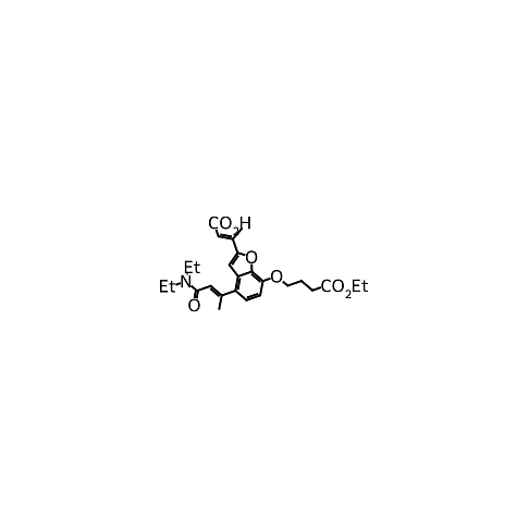 CCOC(=O)CCCOc1ccc(C(C)=CC(=O)N(CC)CC)c2cc(C(C)=CC(=O)O)oc12